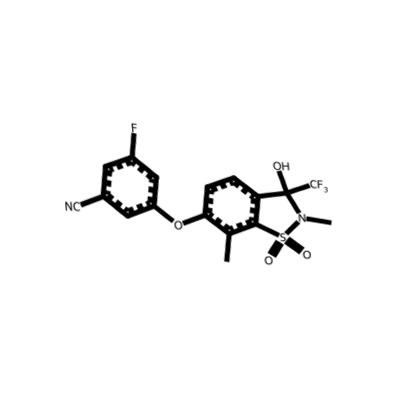 Cc1c(Oc2cc(F)cc(C#N)c2)ccc2c1S(=O)(=O)N(C)C2(O)C(F)(F)F